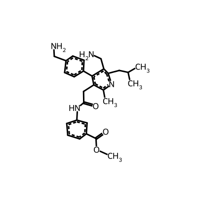 COC(=O)c1cccc(NC(=O)Cc2c(C)nc(CC(C)C)c(CN)c2-c2ccc(CN)cc2)c1